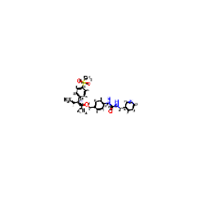 C=C/C(=C(\C)OCc1ccc(NC(=O)NCc2cccnc2)cc1)c1ccc(S(C)(=O)=O)cc1